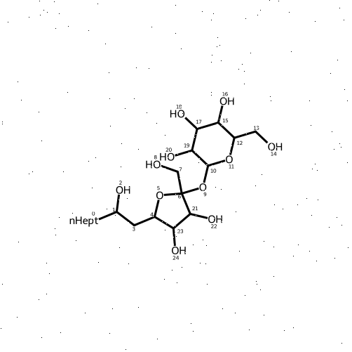 CCCCCCCC(O)CC1OC(CO)(OC2OC(CO)C(O)C(O)C2O)C(O)C1O